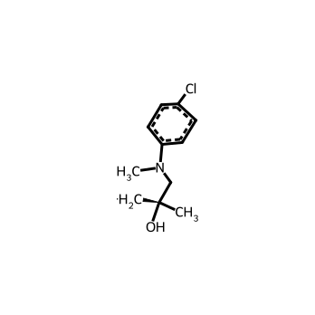 [CH2][C@@](C)(O)CN(C)c1ccc(Cl)cc1